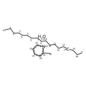 CCCCCCCCCCCCCCCCCC.Cc1ccccn1.O